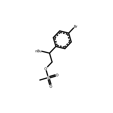 CCCCC(COS(C)(=O)=O)c1ccc(Br)cc1